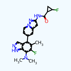 Cc1c(F)c(N(C)C)c2[nH]ncc2c1-c1ccn2nc(NC(=O)C3CC3F)cc2c1